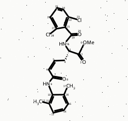 COC(=O)[C@H](C/C=C\C(=O)Nc1c(C)cccc1C)NC(=O)c1c(Cl)cccc1Cl